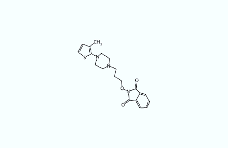 Cc1ccsc1N1CCN(CCCON2C(=O)c3ccccc3C2=O)CC1